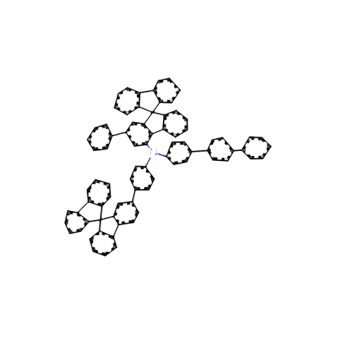 c1ccc(-c2ccc(-c3ccc(N(c4ccc(-c5ccc6c(c5)C5(c7ccccc7-c7ccccc75)c5ccccc5-6)cc4)c4cc(-c5ccccc5)cc5c4-c4ccccc4C54c5ccccc5-c5ccccc54)cc3)cc2)cc1